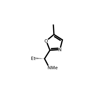 CC[C@@H](NC)c1ncc(C)o1